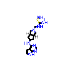 N=C(NCN1C[C@H]2CC(Nc3ncnc4[nH]ccc34)C[C@H]2C1)SN